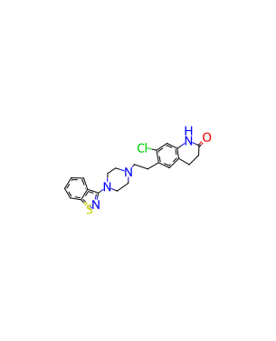 O=C1CCc2cc(CCN3CCN(c4nsc5ccccc45)CC3)c(Cl)cc2N1